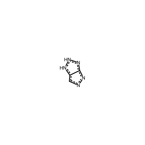 c1nnc2n[nH][nH]c1-2